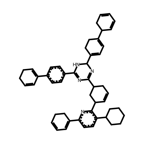 C1=CCCC(c2ccc(C3CCCCC3)c(C3C=CCC(C4=NC(C5=CC=C(C6C=CC=CC6)CC5)NC(c5ccc(C6=CCCC=C6)cc5)=N4)C3)n2)=C1